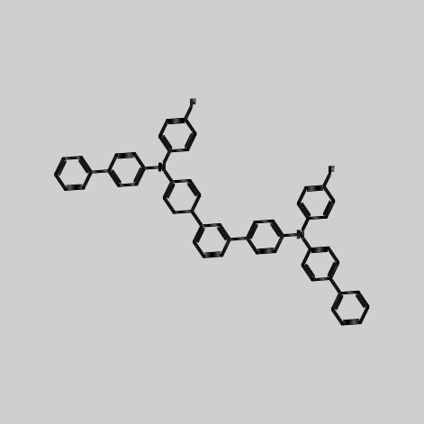 Fc1ccc(N(C2=CCC(c3cccc(-c4ccc(N(c5ccc(F)cc5)c5ccc(-c6ccccc6)cc5)cc4)c3)C=C2)c2ccc(-c3ccccc3)cc2)cc1